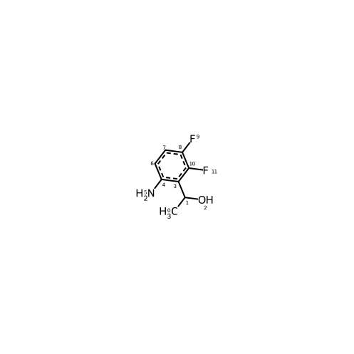 CC(O)c1c(N)ccc(F)c1F